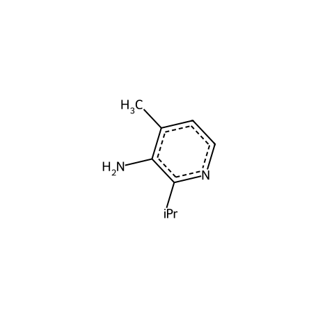 Cc1ccnc(C(C)C)c1N